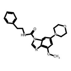 COc1cc(N2CCOCC2)cc2c1ncn2C(=O)NCCc1ccccc1